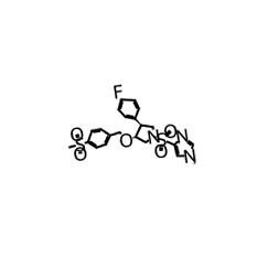 Cn1cnc(S(=O)(=O)N2C[C@H](OCc3ccc(S(C)(=O)=O)cc3)[C@@H](c3ccc(F)cc3)C2)c1